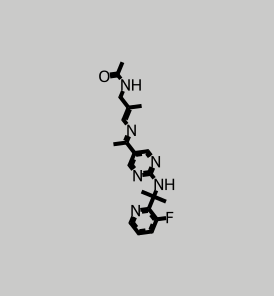 CC(=O)NC/C(C)=C/N=C(\C)c1cnc(NC(C)(C)c2ncccc2F)nc1